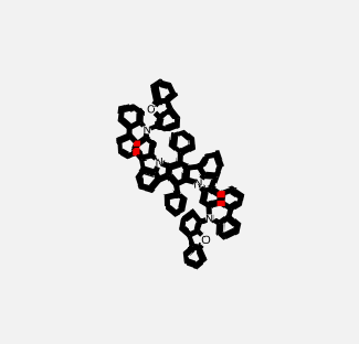 c1ccc(-c2ccccc2N(c2ccc3c4cccc5c6c(-c7ccccc7)c7c(c(-c8ccccc8)c6n(c3c2)c45)c2cccc3c4ccc(N(c5ccccc5-c5ccccc5)c5cccc6c5oc5ccccc56)cc4n7c32)c2cccc3c2oc2ccccc23)cc1